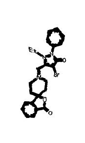 CCn1c(CN2CCC3(CC2)OC(=O)c2ccccc23)c(Br)c(=O)n1-c1ccccc1